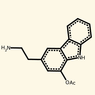 CC(=O)Oc1cc(CCN)cc2c1[nH]c1ccccc12